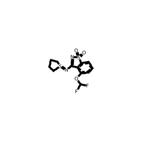 O=S1(=O)N=C(N=S2CCCC2)c2c(OC(F)F)cccc21